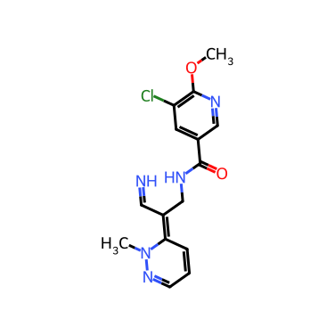 COc1ncc(C(=O)NC/C(C=N)=C2\C=CC=NN2C)cc1Cl